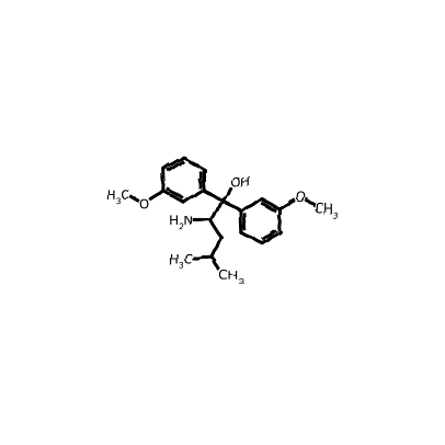 COc1cccc(C(O)(c2cccc(OC)c2)C(N)CC(C)C)c1